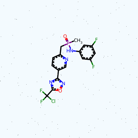 CP(=O)(Cc1ccc(-c2noc(C(F)(F)Cl)n2)cn1)Nc1cc(F)cc(F)c1